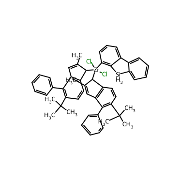 CC1=Cc2c(ccc(C(C)(C)C)c2-c2ccccc2)[CH]1[Zr]([Cl])([Cl])([c]1cccc2c1[SiH2]c1ccccc1-2)[CH]1C(C)=Cc2c1ccc(C(C)(C)C)c2-c1ccccc1